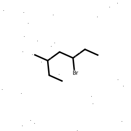 [CH2]C(CC)CC(Br)CC